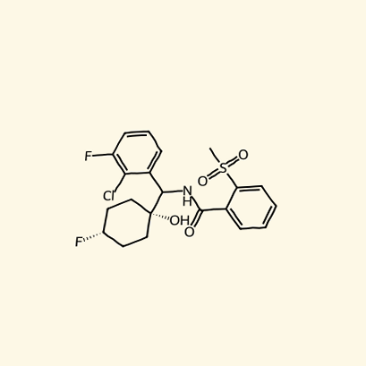 CS(=O)(=O)c1ccccc1C(=O)NC(c1cccc(F)c1Cl)[C@]1(O)CC[C@@H](F)CC1